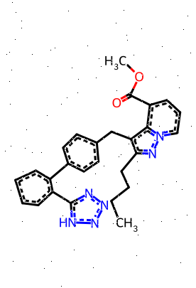 CCCCc1nn2cccc(C(=O)OC)c2c1Cc1ccc(-c2ccccc2-c2nnn[nH]2)cc1